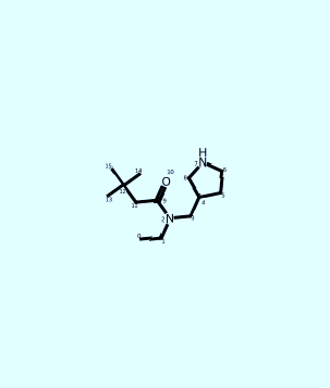 CCN(CC1CCNC1)C(=O)CC(C)(C)C